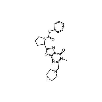 Cn1c(CN2CCOCC2)nc2sc(C3CCCN3C(=O)Oc3ccccc3)nc2c1=O